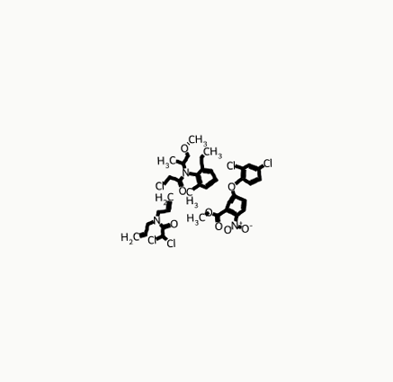 C=CCN(CC=C)C(=O)C(Cl)Cl.CCc1cccc(C)c1N(C(=O)CCl)C(C)COC.COC(=O)c1cc(Oc2ccc(Cl)cc2Cl)ccc1[N+](=O)[O-]